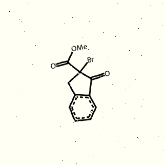 COC(=O)C1(Br)Cc2ccccc2C1=O